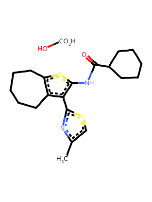 Cc1csc(-c2c(NC(=O)C3CCCCC3)sc3c2CCCCC3)n1.O=C(O)O